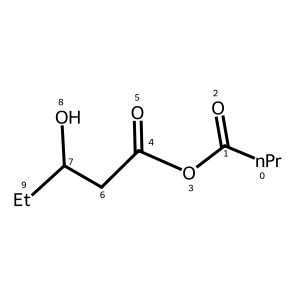 CCCC(=O)OC(=O)CC(O)CC